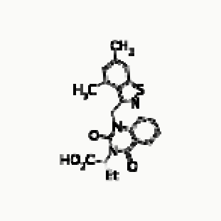 CC[C@H](C(=O)O)n1c(=O)c2ccccc2n(Cc2nsc3cc(C)cc(C)c23)c1=O